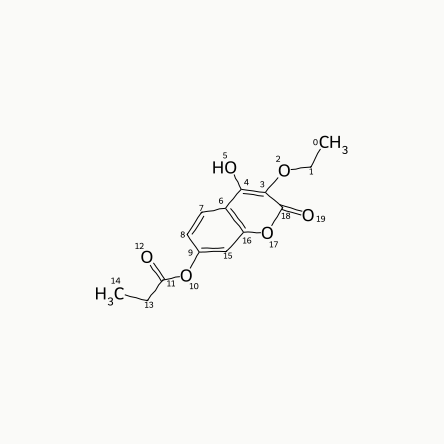 CCOc1c(O)c2ccc(OC(=O)CC)cc2oc1=O